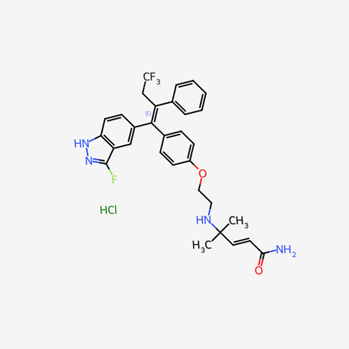 CC(C)(C=CC(N)=O)NCCOc1ccc(/C(=C(/CC(F)(F)F)c2ccccc2)c2ccc3[nH]nc(F)c3c2)cc1.Cl